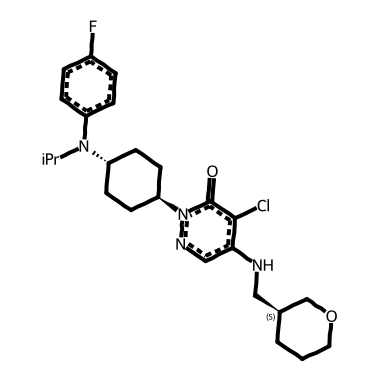 CC(C)N(c1ccc(F)cc1)[C@H]1CC[C@H](n2ncc(NC[C@@H]3CCCOC3)c(Cl)c2=O)CC1